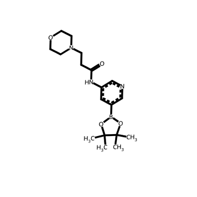 CC1(C)OB(c2cncc(NC(=O)CCN3CCOCC3)c2)OC1(C)C